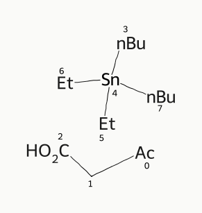 CC(=O)CC(=O)O.CCC[CH2][Sn]([CH2]C)([CH2]C)[CH2]CCC